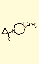 [CH2-][NH+]1CCN(C2(C)CC2)CC1